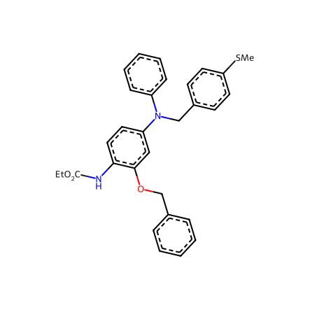 CCOC(=O)Nc1ccc(N(Cc2ccc(SC)cc2)c2ccccc2)cc1OCc1ccccc1